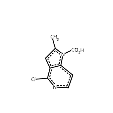 Cc1cc2c(Cl)nccc2n1C(=O)O